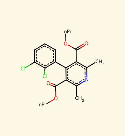 CCCOC(=O)c1c(C)nc(C)c(C(=O)OCCC)c1-c1cccc(Cl)c1Cl